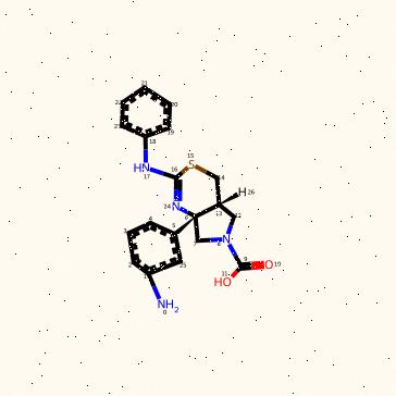 Nc1cccc([C@]23CN(C(=O)O)C[C@H]2CSC(Nc2ccccc2)=N3)c1